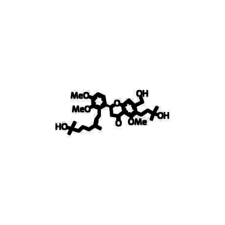 COc1ccc([C@@H]2CC(=O)c3c(cc(CO)c(CCC(C)(C)O)c3OC)O2)c(C/C=C(\C)CCCC(C)(C)O)c1OC